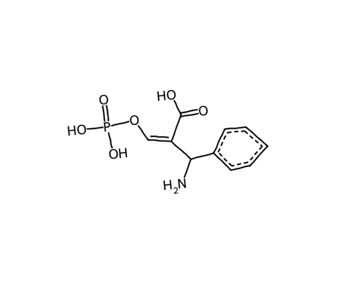 NC(C(=COP(=O)(O)O)C(=O)O)c1ccccc1